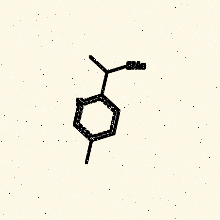 CSC(C)c1ccc(C)cn1